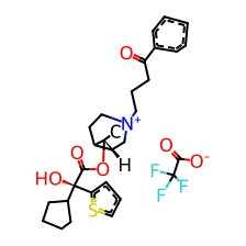 O=C(CCC[N+]12CCC(CC1)[C@@H](OC(=O)[C@](O)(c1cccs1)C1CCCC1)C2)c1ccccc1.O=C([O-])C(F)(F)F